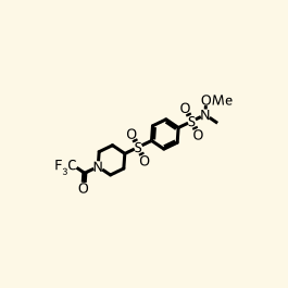 CON(C)S(=O)(=O)c1ccc(S(=O)(=O)C2CCN(C(=O)C(F)(F)F)CC2)cc1